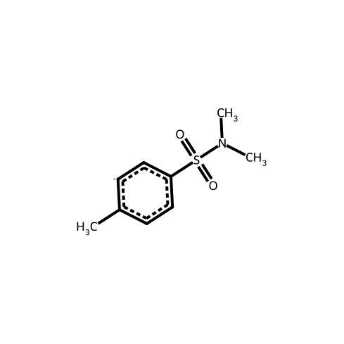 Cc1[c]cc(S(=O)(=O)N(C)C)cc1